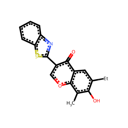 CCc1cc2c(=O)c(-c3nc4ccccc4s3)coc2c(C)c1O